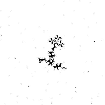 C=C(OC)C(C)(C)[CH2][Co][C](C)([CH2][Co][C](C)(CC)C(=O)OCCC[Si](O[Si](C)(C)C)(O[Si](C)(C)C)O[Si](C)(C)C)C(=O)OCC1CO1